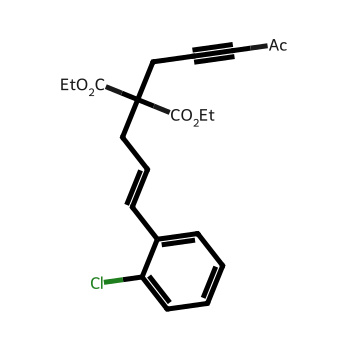 CCOC(=O)C(CC#CC(C)=O)(C/C=C/c1ccccc1Cl)C(=O)OCC